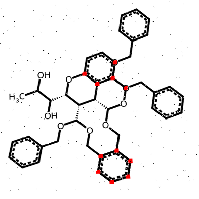 CC(O)C(O)[C@@H]1OC[C@H](C(OCc2ccccc2)OCc2ccccc2)[C@H](C(OCc2ccccc2)OCc2ccccc2)[C@@H]1C(OCc1ccccc1)OCc1ccccc1